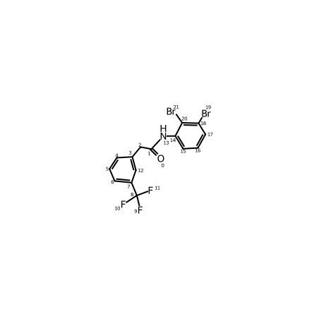 O=C(Cc1cccc(C(F)(F)F)c1)Nc1cccc(Br)c1Br